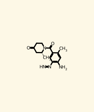 Cc1cc(N)c(N=N)cc1C(=O)N1CCC(=O)C[C@H]1C